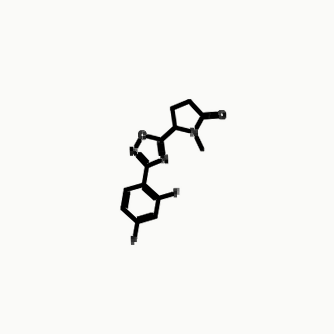 CN1C(=O)CCC1c1nc(-c2ccc(F)cc2F)no1